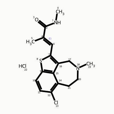 CNC(=O)/C(C)=C/c1sc2ccc(Cl)c3c2c1CN(C)CC3.Cl